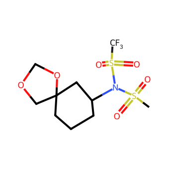 CS(=O)(=O)N(C1CCCC2(COCO2)C1)S(=O)(=O)C(F)(F)F